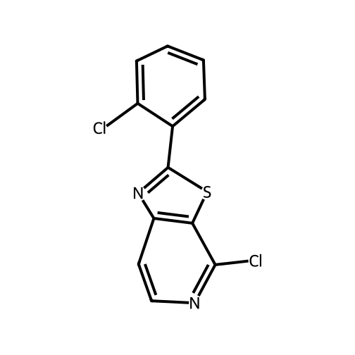 Clc1ccccc1-c1nc2ccnc(Cl)c2s1